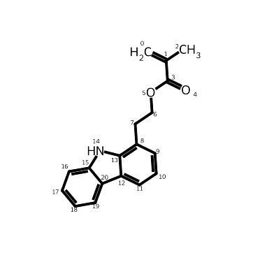 C=C(C)C(=O)OCCc1cccc2c1[nH]c1ccccc12